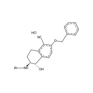 CC(C)N[C@H]1CCc2c(ccc(OCc3ccccc3)c2C#N)[C@@H]1O.Cl